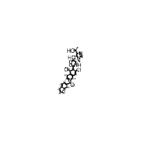 C[C@H](O)c1cn(C[C@H](NC(=O)c2c(Cl)cc3c(c2Cl)CCN(C(=O)c2ccc4ccoc4c2)C3)C(=O)O)nn1